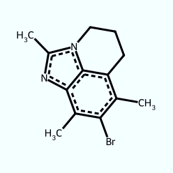 Cc1c(Br)c(C)c2nc(C)n3c2c1CCC3